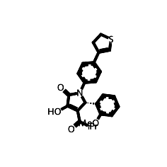 COc1ccccc1[C@@H]1C(C(=O)C(C)C)=C(O)C(=O)N1c1ccc(C2=CSCC2)cc1